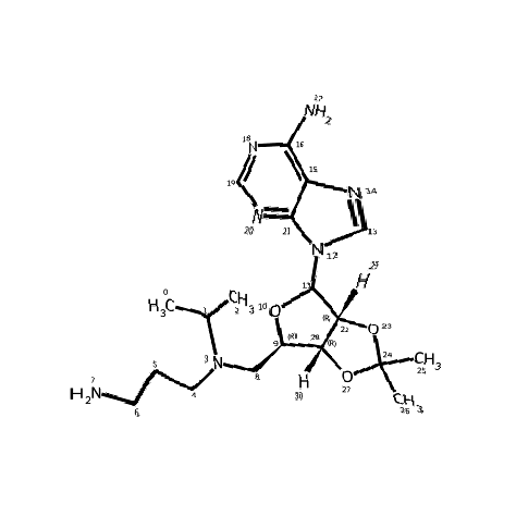 CC(C)N(CCCN)C[C@H]1OC(n2cnc3c(N)ncnc32)[C@@H]2OC(C)(C)O[C@H]12